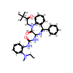 CCN(C)c1ccccc1NC(=O)NC1N=C(c2ccccc2)c2ccccc2N(CC(=O)C(C)(C)C)C1=O